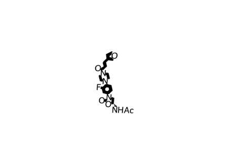 CC(=O)NC[C@H]1CN(c2ccc(N3CCN(C(=O)C=Cc4ccoc4)CC3)c(F)c2)C(=O)O1